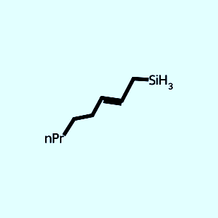 CCCCCC=CC[SiH3]